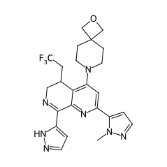 Cn1nccc1-c1cc(N2CCC3(CC2)COC3)c2c(n1)C(c1ccn[nH]1)=NCC2CC(F)(F)F